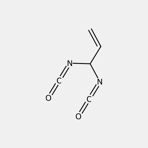 C=CC(N=C=O)N=C=O